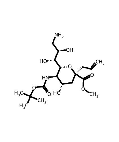 C=CC[C@]1(C(=O)OC)C[C@H](O)[C@@H](NC(=O)OC(C)(C)C)[C@H]([C@H](O)[C@H](O)CN)O1